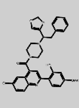 COc1ccc(-c2cc(C(=O)N3CCN(C(Cc4ccccc4)C4=COCO4)CC3)c3cc(Cl)ccc3n2)c(O)c1